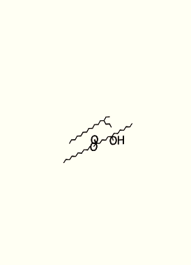 CCCCCCCCCCCCC(CC)CCC.CCCCCCCCCCOC(=O)CCCCC(O)CCCCCCC